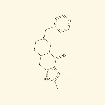 Cc1[nH]c2c(c1C)C(=O)C1CN(Cc3ccccc3)CCC1C2